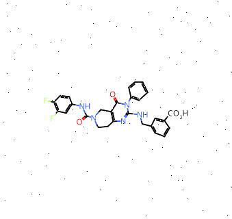 O=C(O)c1cccc(CNc2nc3c(c(=O)n2-c2ccccc2)CN(C(=O)Nc2ccc(F)c(F)c2)CC3)c1